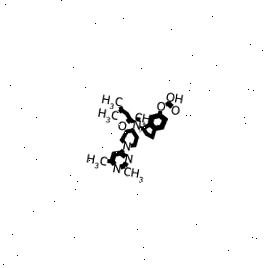 Cc1cc(N2CCC([N+](C)(C(=O)CC(C)C)[C@@H]3CCc4ccc(OC(=O)O)cc43)CC2)nc(C)n1